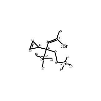 CC(Br)=CC(CC[Si](C)(C)C)(C1C=C1)[Si](C)(C)C